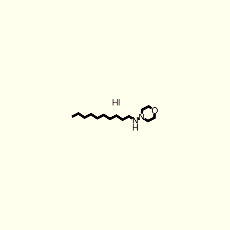 CCCCCCCCCCNN1CCOCC1.I